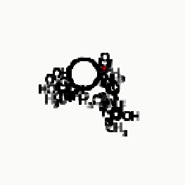 CCCCC1CCCCC(CN2CCOCC2)(c2cc3c4c(cnc3[nH]2)CN(c2c(F)c(O)cc(OC)c2F)C(=O)N4CC)C(CC)CCCCCCCCC[C@@]1(C)[C@H]1O[C@@H](C(=O)O)[C@H](O)[C@@H](O)[C@@H]1O